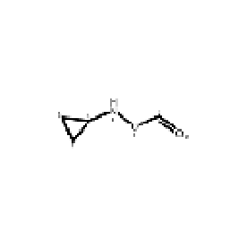 O=CONC1CC1